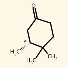 C[C@@H]1CC(=O)CCC1(C)C